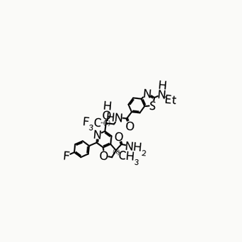 CCNc1nc2ccc(C(=O)NC[C@](O)(c3cc4c(c(-c5ccc(F)cc5)n3)OC[C@]4(C)C(N)=O)C(F)(F)F)cc2s1